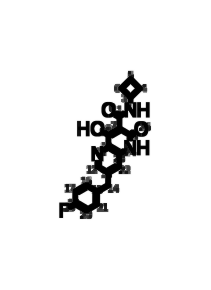 O=C(NC1CCC1)c1c(O)c2ncc(Cc3ccc(F)cc3)cc2[nH]c1=O